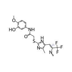 C=N/C(=C\c1[nH]c(SCC(=O)Nc2ccc(OC)c(O)c2)nc1C)C(F)(F)F